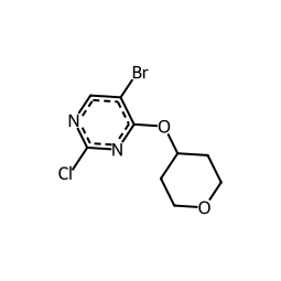 Clc1ncc(Br)c(OC2CCOCC2)n1